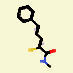 CNC(=O)/C(S)=C/C=C/c1ccccc1